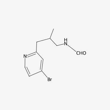 CC(CNC=O)Cc1cc(Br)ccn1